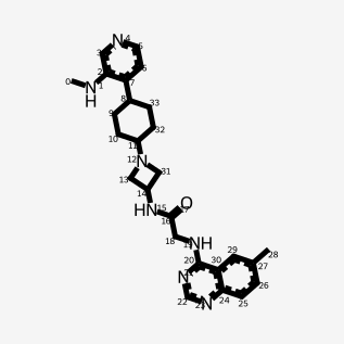 CNc1cnccc1C1CCC(N2CC(NC(=O)CNc3ncnc4ccc(C)cc34)C2)CC1